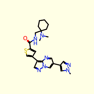 CN(C)C1(CNC(=O)c2cc(-c3cnn4cc(-c5cnn(C)c5)cnc34)cs2)CCCCC1